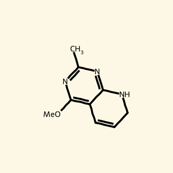 COc1nc(C)nc2c1C=CCN2